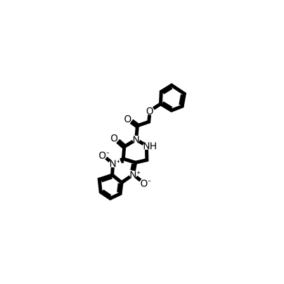 O=C(COc1ccccc1)N1NCc2c([n+]([O-])c3ccccc3[n+]2[O-])C1=O